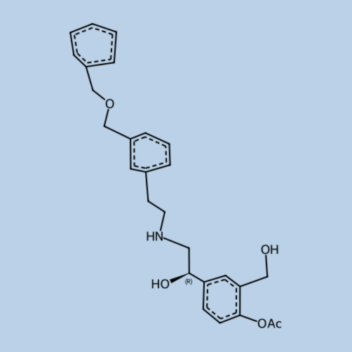 CC(=O)Oc1ccc([C@@H](O)CNCCc2cccc(COCc3ccccc3)c2)cc1CO